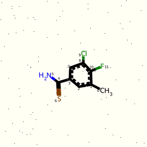 Cc1cc(C(N)=S)cc(Cl)c1F